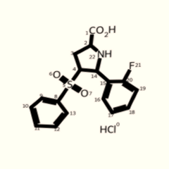 Cl.O=C(O)C1CC(S(=O)(=O)c2ccccc2)C(c2ccccc2F)N1